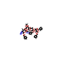 CC1C(O[C@@H]2OCC3(COCc4ccccc4)O[C@@H](c4ccccc4)O[C@H]23)[C@H](OCc2ccccc2)CO[C@H]1O[C@H]1C(C)O[C@@H](OC2C(C)[C@@H](N=[N+]=[N-])C(COCc3ccccc3)O[C@@H]2OC(=N)C(Cl)(Cl)Cl)C2OC(C)(C)OC21